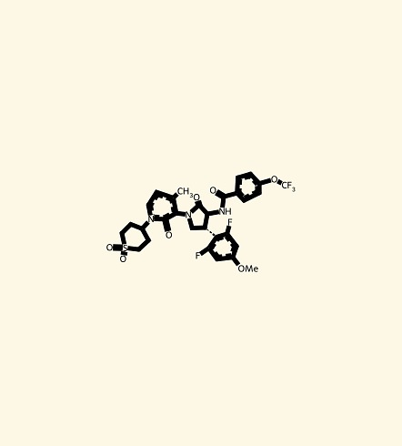 COc1cc(F)c([C@@H]2CN(c3c(C)ccn(C4CCS(=O)(=O)CC4)c3=O)C(=O)C2NC(=O)c2ccc(OC(F)(F)F)cc2)c(F)c1